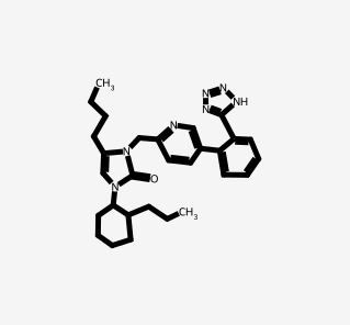 CCCCc1cn(C2CCCCC2CCC)c(=O)n1Cc1ccc(-c2ccccc2-c2nnn[nH]2)cn1